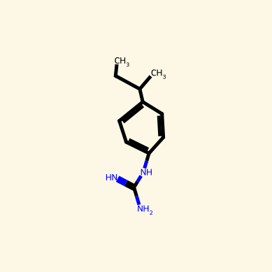 CCC(C)c1ccc(NC(=N)N)cc1